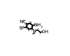 CN(CCO)c1cc(Br)c(C#N)cc1N